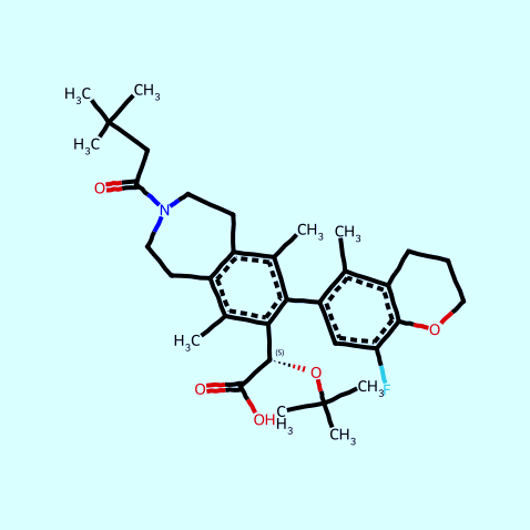 Cc1c(-c2c(C)c3c(c(C)c2[C@H](OC(C)(C)C)C(=O)O)CCN(C(=O)CC(C)(C)C)CC3)cc(F)c2c1CCCO2